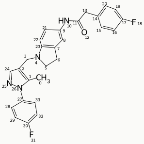 Cc1c(CN2CCc3cc(NC(=O)Cc4ccc(F)cc4)ccc32)cnn1-c1ccc(F)cc1